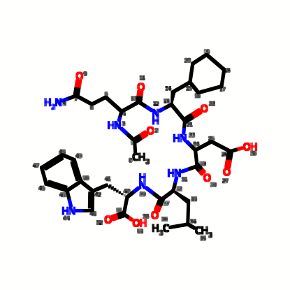 CC(=O)NC(CCC(N)=O)C(=O)N[C@@H](CC1CCCCC1)C(=O)NC(CC(=O)O)C(=O)N[C@@H](CC(C)C)C(=O)N[C@@H](Cc1c[nH]c2ccccc12)C(=O)O